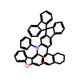 c1ccc(N(c2cc3c(cc2-c2cccc4c2CCCC4)-c2ccccc2C32c3ccccc3-c3ccccc32)c2cccc3oc4ccccc4c23)cc1